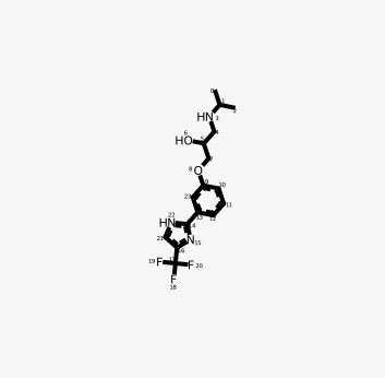 CC(C)NCC(O)COc1cccc(-c2nc(C(F)(F)F)c[nH]2)c1